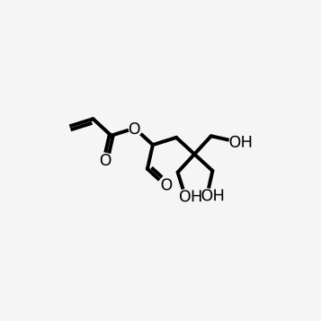 C=CC(=O)OC(C=O)CC(CO)(CO)CO